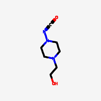 O=C=NN1CCN(CCO)CC1